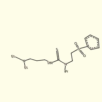 CCN(CC)CCCNC(=S)N(CCS(=O)(=O)c1ccccc1)C(C)C